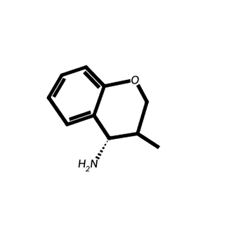 CC1COc2ccccc2[C@H]1N